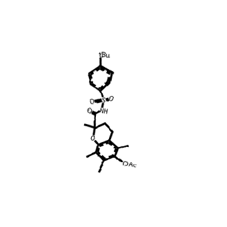 CC(=O)Oc1c(C)c(C)c2c(c1C)CCC(C)(C(=O)NS(=O)(=O)c1ccc(C(C)(C)C)cc1)O2